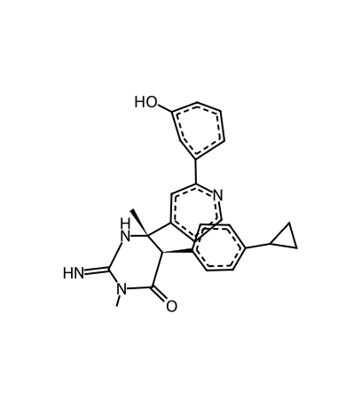 CN1C(=N)N[C@](C)(c2ccnc(-c3cccc(O)c3)c2)[C@@H](c2ccc(C3CC3)cc2)C1=O